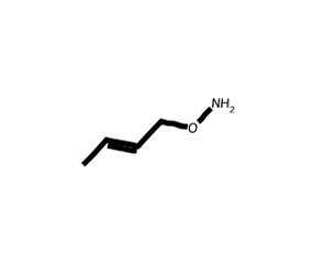 C/C=C/CON